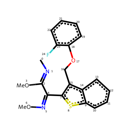 CN=C(OC)C(=NOC)c1sc2ccccc2c1COc1ccccc1F